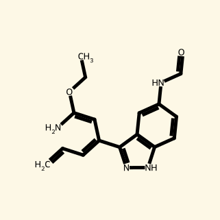 C=C/C=C(\C=C(/N)OCC)c1n[nH]c2ccc(NC=O)cc12